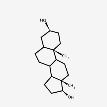 C[C@]12CC[C@H](O)CC1CCC1C2CC[C@@]2(C)C1CC[C@@H]2O